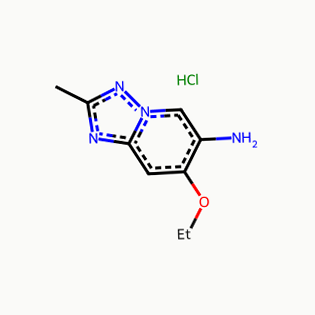 CCOc1cc2nc(C)nn2cc1N.Cl